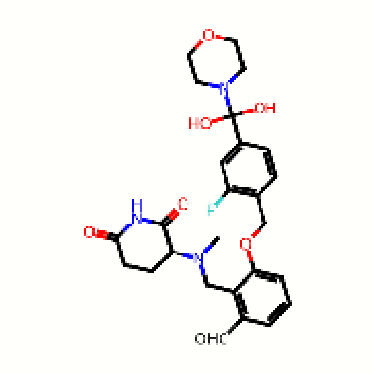 CN(Cc1c(C=O)cccc1OCc1ccc(C(O)(O)N2CCOCC2)cc1F)[C@H]1CCC(=O)NC1=O